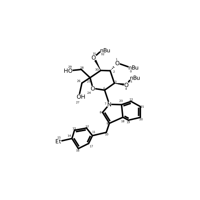 CCCCO[C@@H]1[C@@H](OCCCC)C(n2cc(Cc3ccc(CC)cc3)c3ccccc32)OC(CO)(CO)[C@H]1OCCCC